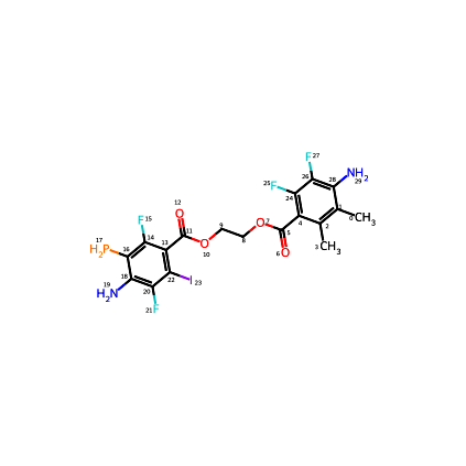 Cc1c(C)c(C(=O)OCCOC(=O)c2c(F)c(P)c(N)c(F)c2I)c(F)c(F)c1N